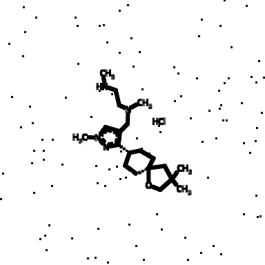 CNCCN(C)Cc1cn(C)nc1[C@H]1CC[C@]2(CC1)CC(C)(C)CO2.Cl